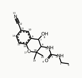 CCNC(=O)NC1C(O)c2cc(C#N)ccc2OC1(C)C